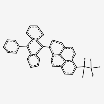 FC(F)(F)C(F)(F)c1ccc2ccc3c(-c4c5ccccc5c(-c5ccccc5)c5ccccc45)ccc4ccc1c2c43